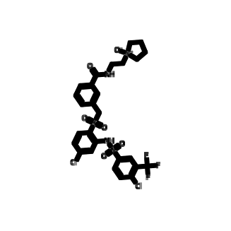 O=C(NCC[N+]1([O-])CCCC1)c1cccc(CS(=O)(=O)c2ccc(Cl)cc2NS(=O)(=O)c2ccc(Cl)c(C(F)(F)F)c2)c1